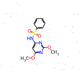 COc1cc(NS(=O)(=O)c2cc[c]cc2)nc(OC)n1